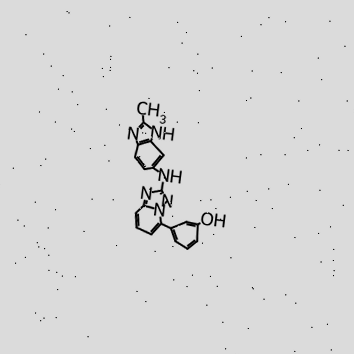 Cc1nc2ccc(Nc3nc4cccc(-c5cccc(O)c5)n4n3)cc2[nH]1